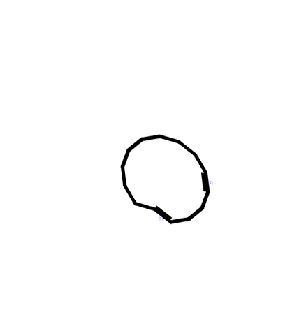 [C]1=C/CCCCCCCC/C=C\CC/1